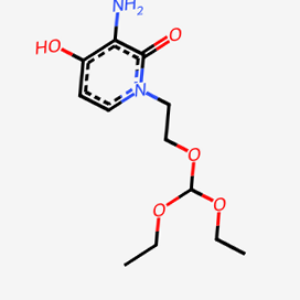 CCOC(OCC)OCCn1ccc(O)c(N)c1=O